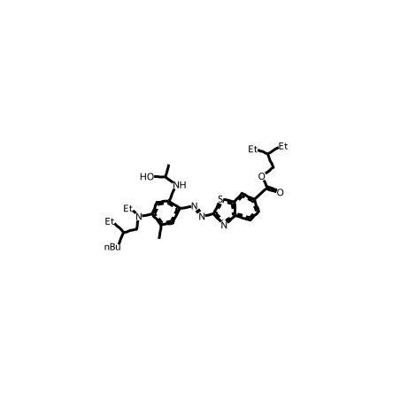 CCCCC(CC)CN(CC)c1cc(NC(C)O)c(N=Nc2nc3ccc(C(=O)OCC(CC)CC)cc3s2)cc1C